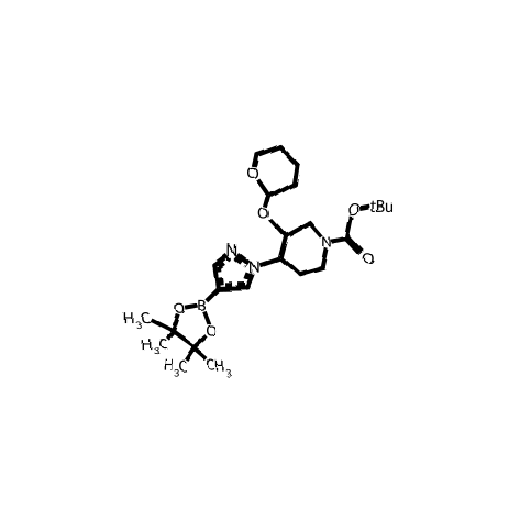 CC(C)(C)OC(=O)N1CCC(n2cc(B3OC(C)(C)C(C)(C)O3)cn2)C(OC2CCCCO2)C1